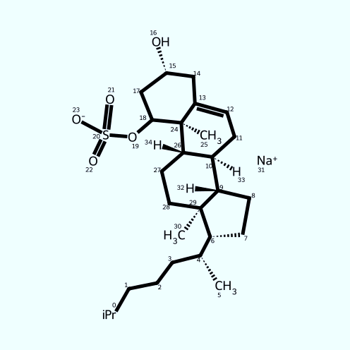 CC(C)CCC[C@@H](C)[C@H]1CC[C@H]2[C@@H]3CC=C4C[C@@H](O)CC(OS(=O)(=O)[O-])[C@]4(C)[C@H]3CC[C@]12C.[Na+]